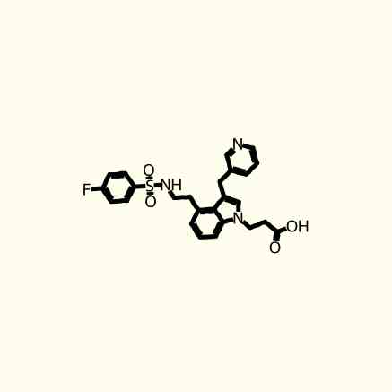 O=C(O)CCn1cc(Cc2cccnc2)c2c(CCNS(=O)(=O)c3ccc(F)cc3)cccc21